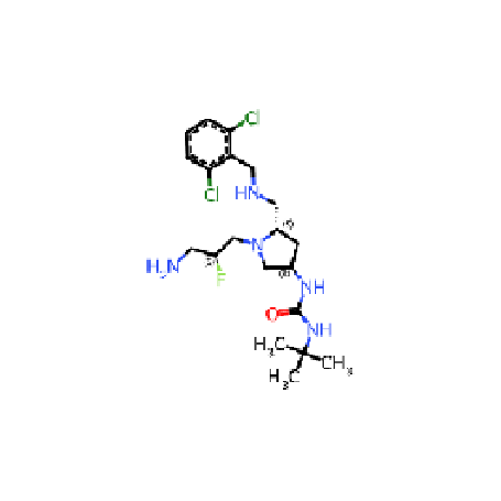 CC(C)(C)NC(=O)N[C@@H]1C[C@@H](CNCc2c(Cl)cccc2Cl)N(C[C@@H](F)CN)C1